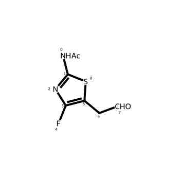 CC(=O)Nc1nc(F)c(CC=O)s1